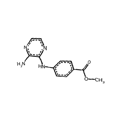 COC(=O)c1ccc(Nc2nccnc2N)cc1